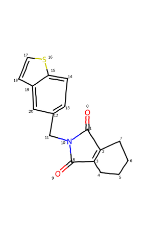 O=C1C2=C(CCCC2)C(=O)N1Cc1ccc2sccc2c1